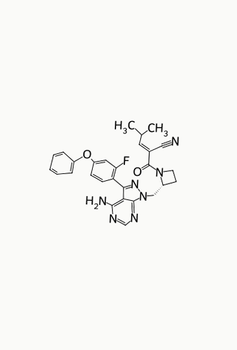 CC(C)C=C(C#N)C(=O)N1CC[C@@H]1Cn1nc(-c2ccc(Oc3ccccc3)cc2F)c2c(N)ncnc21